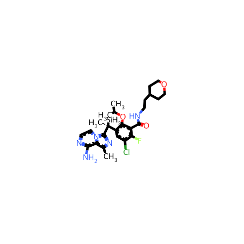 Cc1nc([C@@](C)([SiH3])c2cc(Cl)c(F)c(C(=O)NCCC3CCOCC3)c2OC(C)C)n2ccnc(N)c12